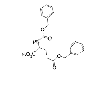 O=C(CCC(NC(=O)OCc1ccccc1)C(=O)O)OCc1ccccc1